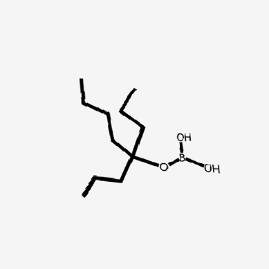 CCCCC(CCC)(CCC)OB(O)O